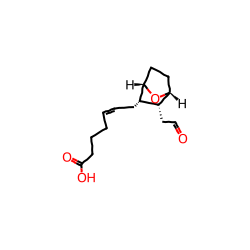 O=CC[C@@H]1[C@H](C/C=C\CCCC(=O)O)[C@@H]2CC[C@H]1O2